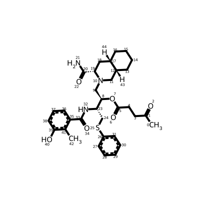 CC(=O)CCC(=O)O[C@H](CN1C[C@H]2CCCC[C@H]2C[C@H]1C(N)=O)[C@H](CSc1ccccc1)NC(=O)c1cccc(O)c1C